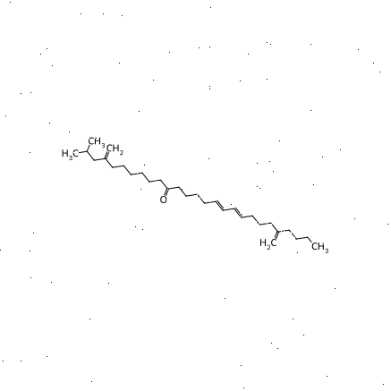 C=C(CCCC)CCC/C=C/C=C/CCCCC(=O)CCCCCCC(=C)CC(C)C